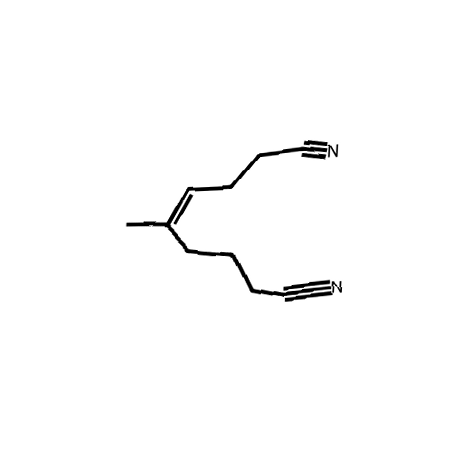 CC(=CCCC#N)CCCC#N